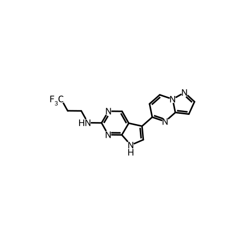 FC(F)(F)CCNc1ncc2c(-c3ccn4nccc4n3)c[nH]c2n1